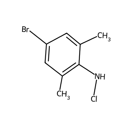 Cc1cc(Br)cc(C)c1NCl